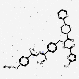 C=N/C(=N\C=C(/C)c1ccc(OCCCCCCC)cc1)c1ccc(C[C@H](NC(=O)c2ccc(C(C)(C)C)s2)C(=O)N2CCN(c3ncccn3)CC2)cc1